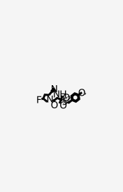 COc1ccc(CS(=O)(=O)C(C)(C)[C@@H](N)C(=O)N2CC(F)CC2C#N)cc1